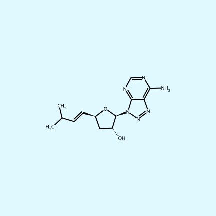 CC(C)/C=C/[C@@H]1C[C@@H](O)[C@H](n2nnc3c(N)ncnc32)O1